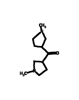 CN1CCC(C(=O)C2CCN(C)C2)C1